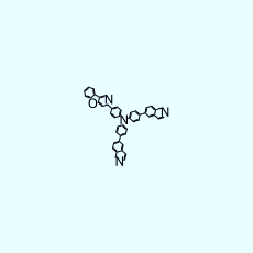 c1ccc2c(c1)oc1cc(-c3ccc(N(c4ccc(-c5ccc6cnccc6c5)cc4)c4ccc(-c5ccc6cnccc6c5)cc4)cc3)ncc12